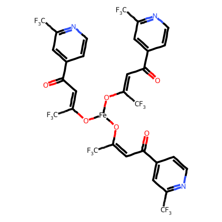 O=C(C=C([O][Fe]([O]C(=CC(=O)c1ccnc(C(F)(F)F)c1)C(F)(F)F)[O]C(=CC(=O)c1ccnc(C(F)(F)F)c1)C(F)(F)F)C(F)(F)F)c1ccnc(C(F)(F)F)c1